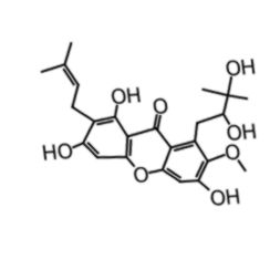 COc1c(O)cc2oc3cc(O)c(CC=C(C)C)c(O)c3c(=O)c2c1CC(O)C(C)(C)O